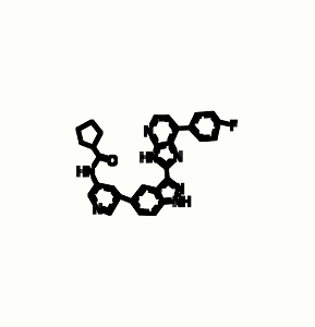 O=C(Nc1cncc(-c2ccc3[nH]nc(-c4nc5c(-c6ccc(F)cc6)ccnc5[nH]4)c3c2)c1)C1CCCC1